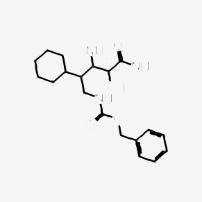 [NH]C(=O)C(O)C(N)C(CNC(=O)OCc1ccccc1)C1CCCCC1